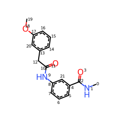 CNC(=O)c1cccc(NC(=O)Cc2cccc(OC)c2)c1